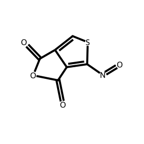 O=Nc1scc2c1C(=O)OC2=O